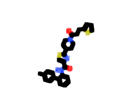 Cc1ccc(-c2ccccc2NC(=O)c2csc(C3CCN(C(=O)CCc4cccs4)CC3)n2)cc1